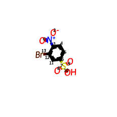 O=[N+]([O-])c1ccc(S(=O)(=O)O)cc1Br